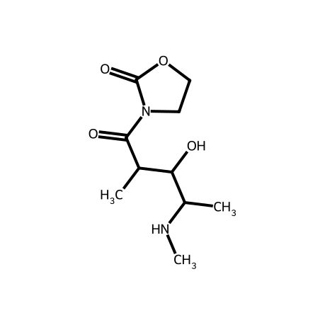 CNC(C)C(O)C(C)C(=O)N1CCOC1=O